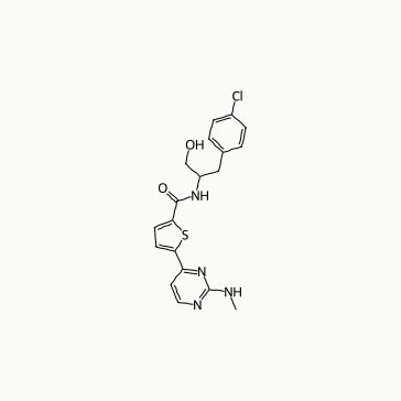 CNc1nccc(-c2ccc(C(=O)NC(CO)Cc3ccc(Cl)cc3)s2)n1